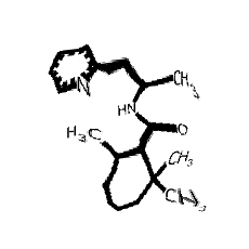 CC(Cc1ccccn1)NC(=O)C1C(C)CCCC1(C)C